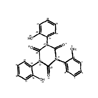 O=c1n(-c2ccccc2O)c(=O)n(-c2ccccc2O)c(=O)n1-c1ccccc1O